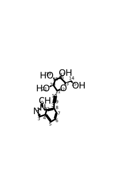 Cn1ncc2cccc(C#C[C@H]3O[C@H](CO)[C@@H](O)[C@H](O)[C@@H]3O)c21